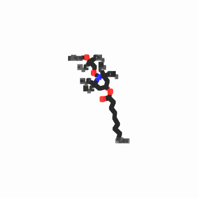 CCCCCCCCCCCCCCCCCC(=O)OC1CC(C)(C)N(OCC(C)(C)OCCCCCC)C(C)(C)C1